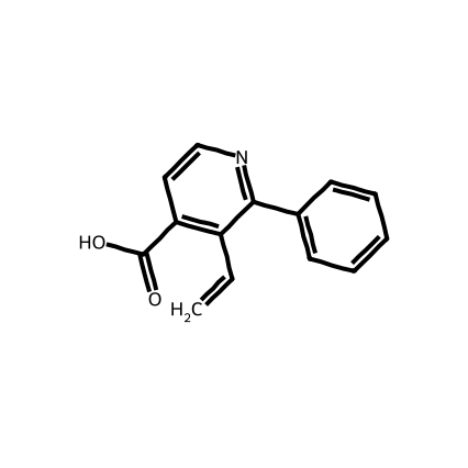 C=Cc1c(C(=O)O)ccnc1-c1ccccc1